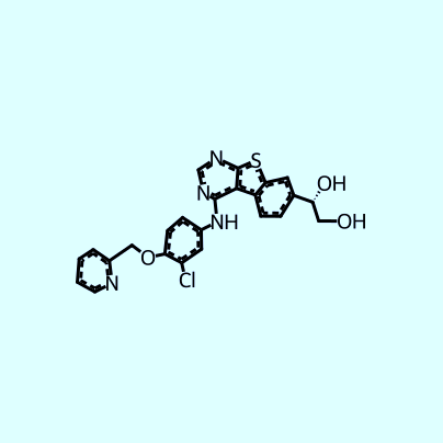 OC[C@@H](O)c1ccc2c(c1)sc1ncnc(Nc3ccc(OCc4ccccn4)c(Cl)c3)c12